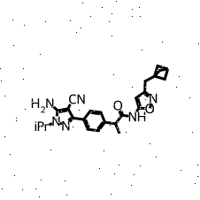 CC(C(=O)Nc1cc(CC23CC(C2)C3)no1)c1ccc(-c2nn(C(C)C)c(N)c2C#N)cc1